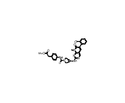 COC(=O)Cc1ccc(NC(=O)N2CC3C(C2)C3Nc2ncc3cc(-c4ccccc4Cl)c(=O)n(C)c3n2)cc1